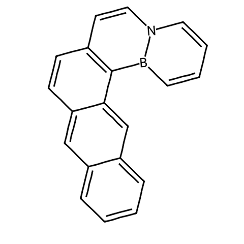 C1=CB2c3c(ccc4cc5ccccc5cc34)C=CN2C=C1